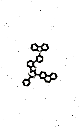 c1ccc(-c2nc(-c3ccc4c(ccc5ccccc54)c3)c3oc4c(-c5cccc(-n6c7ccccc7c7ccccc76)c5)cccc4c3n2)cc1